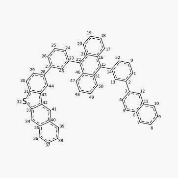 c1cc(-c2ccc3ccccc3c2)cc(-c2c3ccccc3c(-c3cccc(-c4ccc5sc6cc7ccccc7cc6c5c4)c3)c3ccccc23)c1